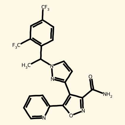 CC(c1ccc(C(F)(F)F)cc1C(F)(F)F)n1ccc(-c2c(C(N)=O)noc2-c2ccccn2)n1